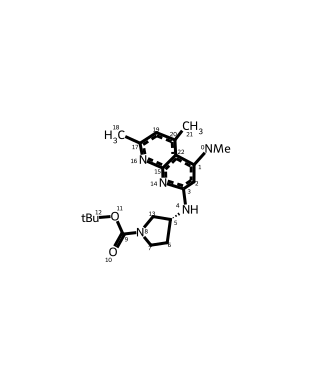 CNc1cc(N[C@@H]2CCN(C(=O)OC(C)(C)C)C2)nc2nc(C)cc(C)c12